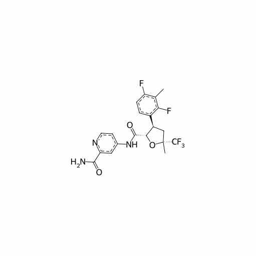 Cc1c(F)ccc([C@H]2C[C@](C)(C(F)(F)F)O[C@@H]2C(=O)Nc2ccnc(C(N)=O)c2)c1F